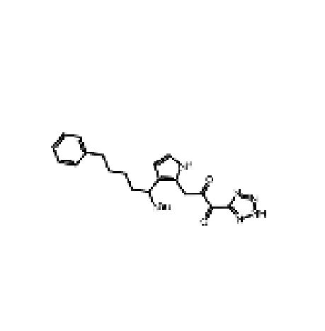 CCCCC(CCCCc1ccccc1)c1cc[nH]c1CC(=O)C(=O)c1nn[nH]n1